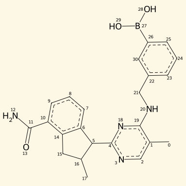 Cc1cnc(C2c3cccc(C(N)=O)c3CC2C)nc1NCc1cccc(B(O)O)c1